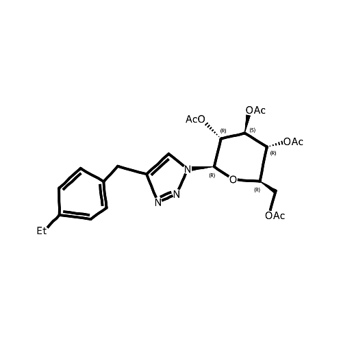 CCc1ccc(Cc2cn([C@@H]3O[C@H](COC(C)=O)[C@@H](OC(C)=O)[C@H](OC(C)=O)[C@H]3OC(C)=O)nn2)cc1